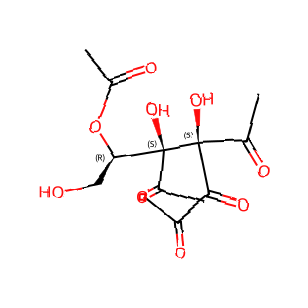 CC(=O)O[C@H](CO)[C@@](O)(C(C)=O)[C@](O)(C(C)=O)C(=O)C(C)=O